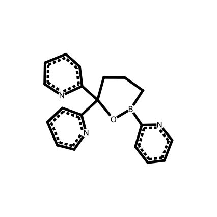 c1ccc(B2CCCC(c3ccccn3)(c3ccccn3)O2)nc1